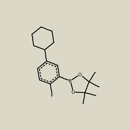 CC1(C)OB(c2cc(C3CCCCC3)ccc2F)OC1(C)C